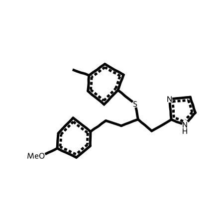 COc1ccc(CCC(Cc2ncc[nH]2)Sc2ccc(C)cc2)cc1